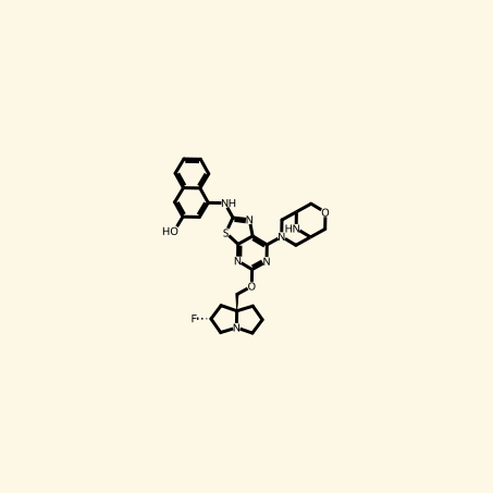 Oc1cc(Nc2nc3c(N4CC5COCC(C4)N5)nc(OC[C@@]45CCCN4C[C@H](F)C5)nc3s2)c2ccccc2c1